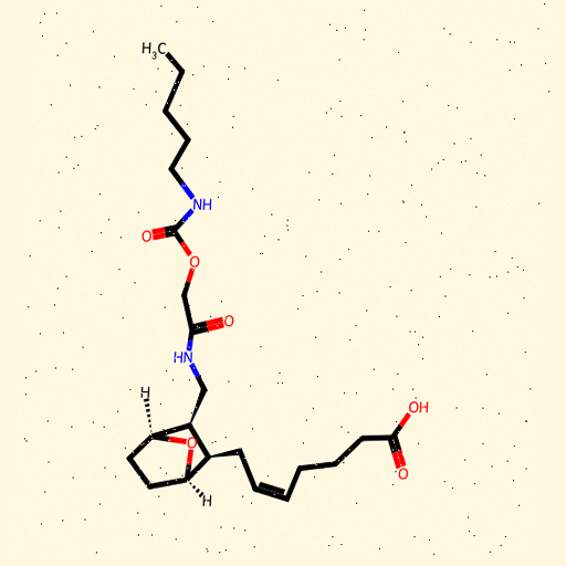 CCCCCNC(=O)OCC(=O)NC[C@H]1[C@@H](C/C=C\CCCC(=O)O)[C@H]2CC[C@@H]1O2